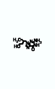 CC[C@H](CCO)Cn1cnc2c(=O)[nH]c(N)nc21